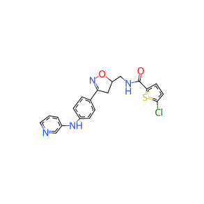 O=C(NCC1CC(c2ccc(Nc3cccnc3)cc2)=NO1)c1ccc(Cl)s1